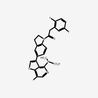 O=C(Cc1cc(F)ccc1F)N1CCc2cc(-c3coc4c(I)cnc(N(C(=O)O)C(=O)O)c34)ccc21